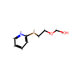 OCOCCSc1ccccn1